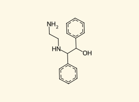 NCCNC(c1ccccc1)C(O)c1ccccc1